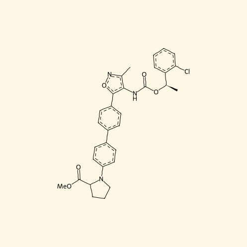 COC(=O)C1CCCN1c1ccc(-c2ccc(-c3onc(C)c3NC(=O)O[C@H](C)c3ccccc3Cl)cc2)cc1